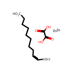 CCCCCCCC/C=C\CCCCCCCC(=O)O.O=C(O)C(=O)O.[Zn].[Zn]